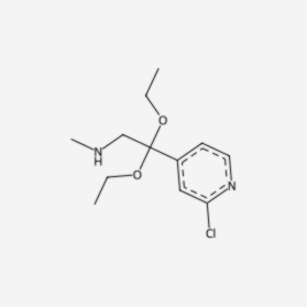 CCOC(CNC)(OCC)c1ccnc(Cl)c1